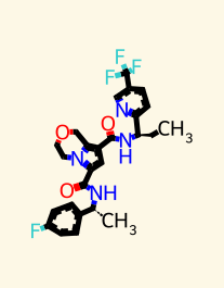 CC[C@@H](NC(=O)c1cc(C(=O)N[C@H](C)c2ccc(F)cc2)n2c1COCC2)c1ccc(C(F)(F)F)cn1